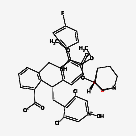 COc1ccc([C@H](Cc2c(Cl)c[n+](O)cc2Cl)c2c(CNC(C(=O)O[C@H]3CN4CCC3CC4)c3ccc(F)cc3)cccc2C(=O)[O-])cc1OC